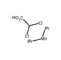 CC(C)NC(C)C.O=C(O)C(Cl)Cl